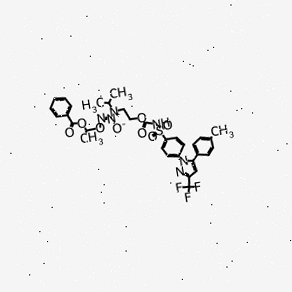 Cc1ccc(-c2cc(C(F)(F)F)nn2-c2ccc(S(=O)(=O)NC(=O)OCCN(C(C)C)/[N+]([O-])=N/OC(C)OC(=O)c3ccccc3)cc2)cc1